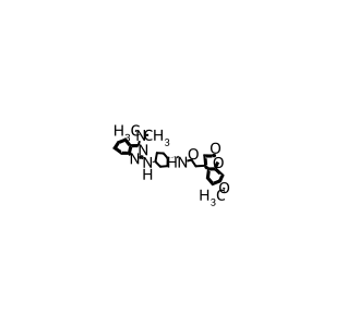 COc1ccc2c(CC(=O)NC[C@H]3CC[C@@H](Nc4nc(N(C)C)c5ccccc5n4)CC3)cc(=O)oc2c1